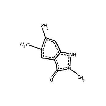 Bc1cc2[nH]n(C)c(=O)c2cc1C